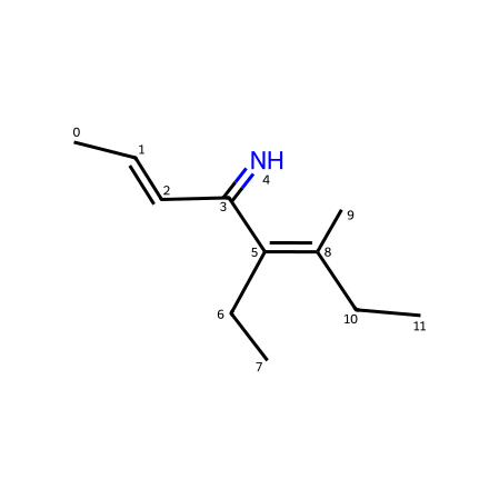 C/C=C/C(=N)/C(CC)=C(\C)CC